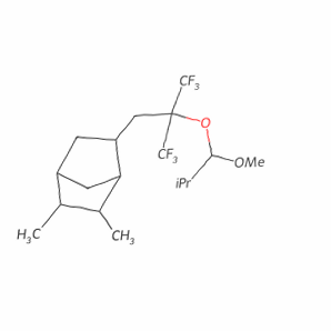 COC(OC(CC1CC2CC1C(C)C2C)(C(F)(F)F)C(F)(F)F)C(C)C